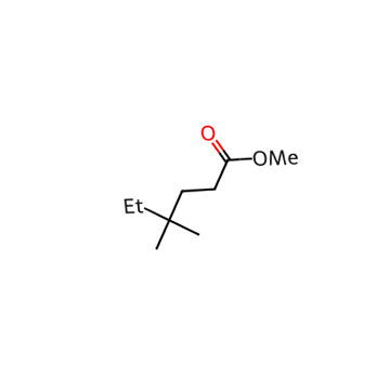 CCC(C)(C)CCC(=O)OC